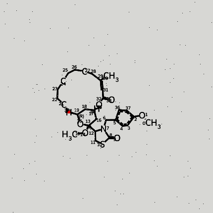 COc1ccc(CN2C(=O)SCC2[C@@]2(OC)C[C@H]3C[C@@H](CCCCCCCCCC(C)=CC(=O)O3)O2)cc1